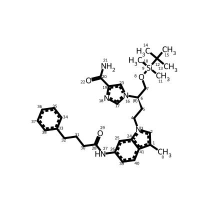 Cc1cn(CC[C@H](CO[Si](C)(C)C(C)(C)C)n2cnc(C(N)=O)c2)c2cc(NC(=O)CCCc3ccccc3)ccc12